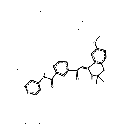 COc1ccc2c(c1)/C(=C/C(=O)c1cccc(C(=O)Nc3ccncc3)c1)NC(C)(C)C2